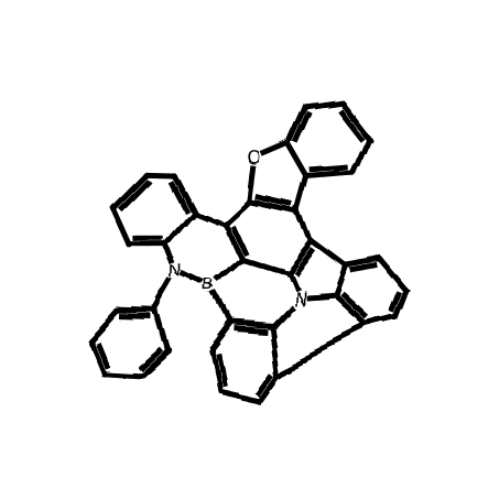 c1ccc(N2B3c4cccc5c6cccc7c8c9c(oc%10ccccc%109)c(c3c8n(c45)c67)-c3ccccc32)cc1